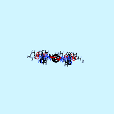 COC(=O)N[C@H](C(=O)N1[C@H](c2nc(C#CC3=CC4=CC[C@@H]3CC[C@@H]3C=CC(=C(C#Cc5c[nH]c([C@@H]6C[C@@H]7CCCC[C@@H]7N6C(=O)[C@@H](NC(=O)OC)C(C)C)n5)C3)CC4)c[nH]2)C[C@@H]2CCCC[C@@H]21)C(C)C